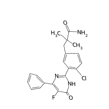 CC(C)(Cc1ccc(Cl)c(-c2nc(-c3ccccc3)c(F)c(=O)[nH]2)c1)C(N)=O